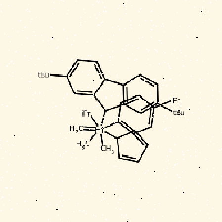 [CH2]=[Hf]([CH3])([CH3])([c]1ccc(C(C)C)cc1)([CH](C)C)([CH]1C=CC=C1)[CH]1c2cc(C(C)(C)C)ccc2-c2ccc(C(C)(C)C)cc21